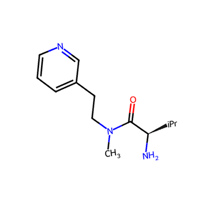 CC(C)[C@@H](N)C(=O)N(C)CCc1cccnc1